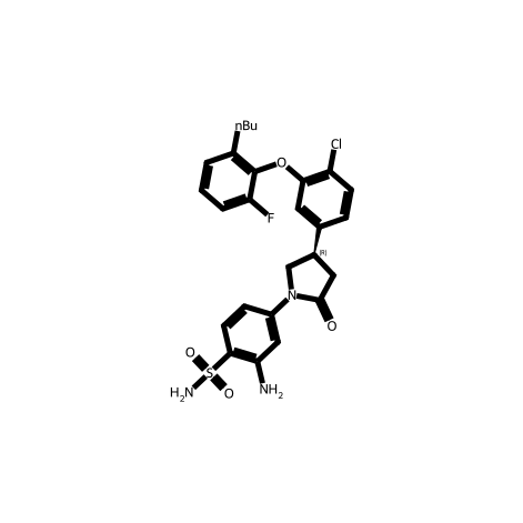 CCCCc1cccc(F)c1Oc1cc([C@H]2CC(=O)N(c3ccc(S(N)(=O)=O)c(N)c3)C2)ccc1Cl